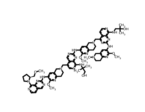 COC[C@@H]1CCCN1c1nccc2cnc(Nc3cc4c(nc3OC)CCN(Cc3cnc(NC(C)(C)CO)c5nc(Nc6cc7c(nc6OC)CCN(Cc6nc(Nc8cc9c(nc8OC)CCN(C)C9)nc8c(NCC(C)(C)O)nccc68)C7)ncc35)C4)nc12